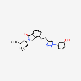 C=CC(CCC=O)N1Cc2c(CCc3cn(-c4cccc(O)c4)nn3)cccc2C1=O